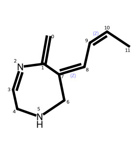 C=C1N=CCNC/C1=C/C=C\C